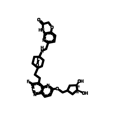 O=C1COc2ccc(CNC34CCC(CCc5c(F)cnc6ccc(OCC7C[C@@H](O)[C@@H](O)C7)nc56)(CC3)OC4)nc2N1